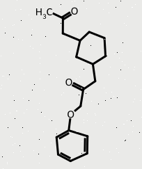 CC(=O)CC1CCCC(CC(=O)COc2ccccc2)C1